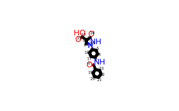 O=C(Nc1ccc(-n2cc(C(=O)O)c(=O)[nH]2)cc1)c1ccccc1